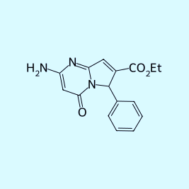 CCOC(=O)C1=Cc2nc(N)cc(=O)n2C1c1ccccc1